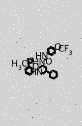 CC1(c2ccccc2OC2NCC(C3CCCCC3)CC2NC(=O)Nc2ccc(OC(F)(F)F)cc2)CCC1